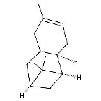 CC1=CC[C@]2(C)C(C1)C[C@@H]1C[C@H]2C1(C)C